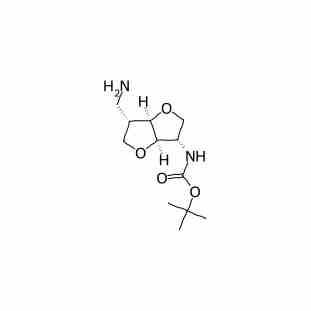 CC(C)(C)OC(=O)N[C@H]1CO[C@@H]2[C@@H](CN)CO[C@@H]21